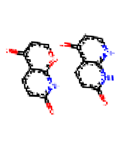 O=c1ccc2c(=O)cc[nH]c2[nH]1.O=c1ccc2c(=O)ccoc2[nH]1